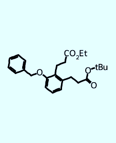 CCOC(=O)CCc1c(CCC(=O)OC(C)(C)C)cccc1OCc1ccccc1